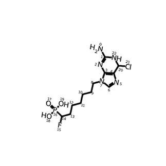 NC1=Nc2c(ncn2CCCCCCC(F)P(=O)(O)O)C(Cl)N1